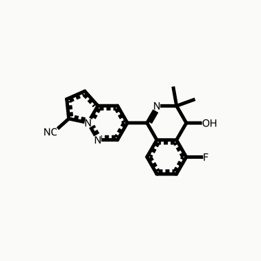 CC1(C)N=C(c2cnn3c(C#N)ccc3c2)c2cccc(F)c2C1O